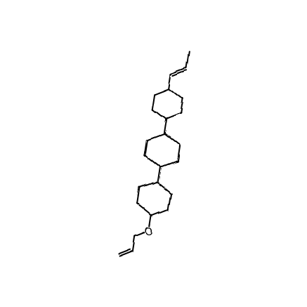 C=CCOC1CCC(C2CCC(C3CCC(/C=C/C)CC3)CC2)CC1